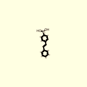 OB(O)c1ccc(/C=C/c2ccccc2)cc1